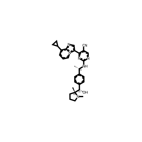 C[C@H](Nc1ncc(C#N)c(-c2cnc3c(C4CC4)cccn23)n1)c1ccc([C@H](O)[C@@]2(C)CCCN2C)cc1